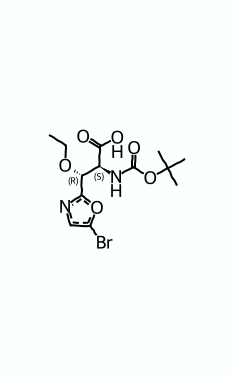 CCO[C@@H](c1ncc(Br)o1)[C@H](NC(=O)OC(C)(C)C)C(=O)O